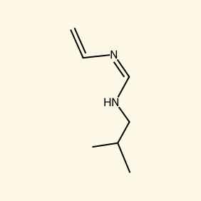 C=C/N=C\NCC(C)C